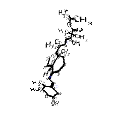 C=C1/C(=C\C=C2/CCC[C@@]3(C)[C@@H]([C@H](C)/C=C/[C@@H](O)C(C)(C)C(=O)OC(C)C)CC[C@@H]23)C[C@@H](O)C[C@@H]1O